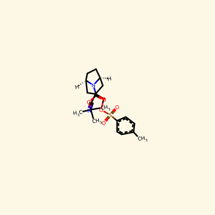 Cc1ccc(S(=O)(=O)OCC2(C#N)C[C@H]3CC[C@@H](C2)N3C(=O)OC(C)(C)C)cc1